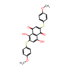 COc1ccc(SC2=CC(=O)c3c(O)c(Sc4ccc(OC)cc4)cc(O)c3C2=O)cc1